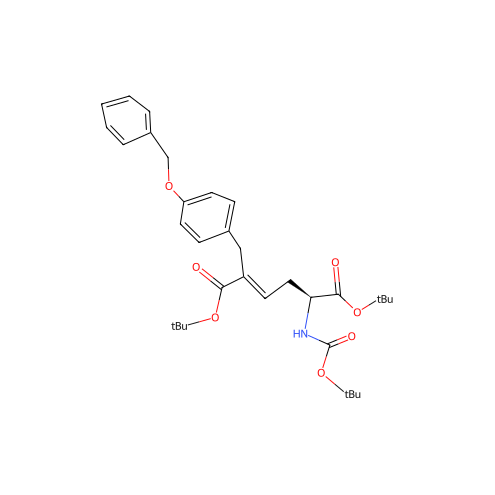 CC(C)(C)OC(=O)N[C@@H](C/C=C(\Cc1ccc(OCc2ccccc2)cc1)C(=O)OC(C)(C)C)C(=O)OC(C)(C)C